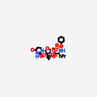 C#C[C@@]1(O)[C@H](O)[C@@H](COP(=O)(NC(CCC)C(=O)OC(C)C)Oc2ccccc2)O[C@H]1n1ccc(=O)[nH]c1=O